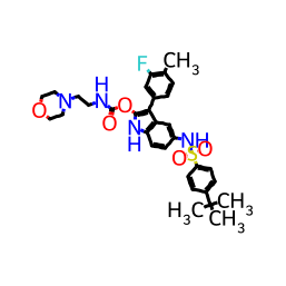 Cc1ccc(-c2c(OC(=O)NCCN3CCOCC3)[nH]c3ccc(NS(=O)(=O)c4ccc(C(C)(C)C)cc4)cc23)cc1F